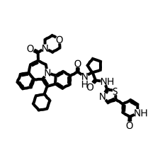 O=C(NC1(C(=O)Nc2ncc(-c3cc[nH]c(=O)c3)s2)CCCC1)c1ccc2c(C3CCCCC3)c3n(c2c1)CC(C(=O)N1CCOCC1)=Cc1ccccc1-3